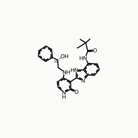 CC(C)(C)C(=O)Nc1cccc2nc(-c3c(NC[C@@H](O)c4ccccc4)cc[nH]c3=O)[nH]c12